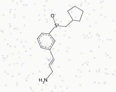 NC/C=C/c1cccc([S+]([O-])CC2CCCC2)c1